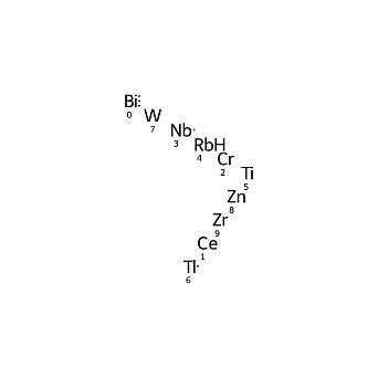 [Bi].[Ce].[Cr].[Nb].[RbH].[Ti].[Tl].[W].[Zn].[Zr]